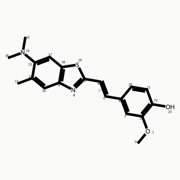 COc1cc(/C=C/c2nc3cc(C)c(N(C)C)cc3s2)ccc1O